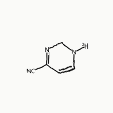 [2H]N1C=CC(C#N)=NC1